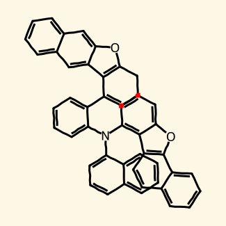 C1=C(c2ccccc2N(c2cccc3ccccc23)c2cccc3oc4c5ccccc5ccc4c23)c2c(oc3cc4ccccc4cc23)CC1